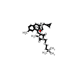 Cc1ccc2c(c1)[C@]13CCN(CC4CC4)[C@H](C2)[C@]1(O)CC[C@]1(C3)C(=O)N(COCC[Si](C)(C)C)C(=O)N1C